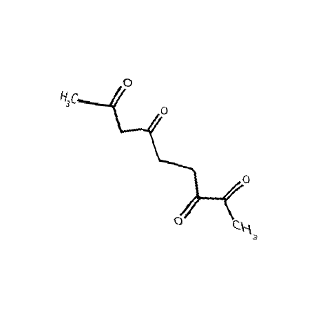 CC(=O)CC(=O)CCC(=O)C(C)=O